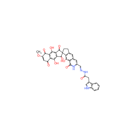 COC1=CC(=O)c2c(O)c3c(c(O)c2C1=O)C(=O)C1(CCc2cc4cc(C=NNC(=O)Cc5c[nH]c6ccccc56)[nH]c(=O)c4c(O)c21)C3=O